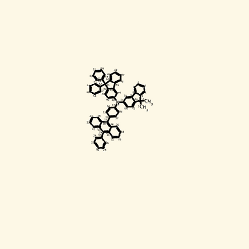 CC1(C)c2ccccc2-c2cc(N(c3ccc(-c4c5ccccc5c(-c5ccccc5)c5ccccc45)cc3)c3ccc4c(c3)-c3ccccc3C4(c3ccccc3)c3ccccc3)ccc21